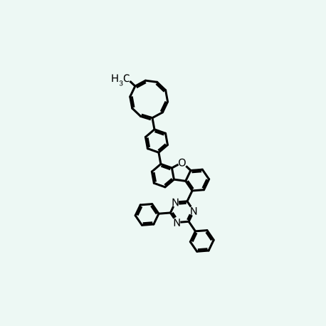 Cc1cccccc(-c2ccc(-c3cccc4c3oc3cccc(-c5nc(-c6ccccc6)nc(-c6ccccc6)n5)c34)cc2)ccc1